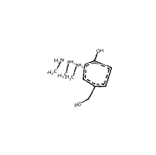 CN.CN.CN.OCc1ccc(O)cc1